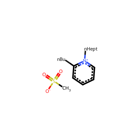 CCCCCCC[n+]1ccccc1CCCC.CS(=O)(=O)[O-]